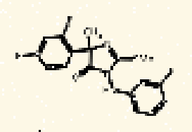 CSC1=NC(C)(c2ccc(F)cc2F)C(=O)N1Nc1cccc(F)c1